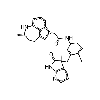 C=C1CCc2cn(CC(=O)NC3C=C(CC4(C)C(=O)Nc5ncccc54)C(C)=CC3)c3cccc(c23)N1